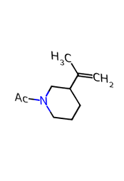 C=C(C)C1CCCN(C(C)=O)C1